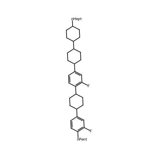 CCCCCCCC1CCC(C2CCC(c3ccc(C4CCC(c5ccc(CCCCC)c(F)c5)CC4)c(F)c3)CC2)CC1